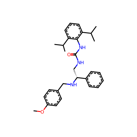 COc1ccc(CN[C@H](CNC(=O)Nc2c(C(C)C)cccc2C(C)C)c2ccccc2)cc1